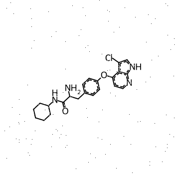 NC(Cc1ccc(Oc2ccnc3[nH]cc(Cl)c23)cc1)C(=O)NC1CCCCC1